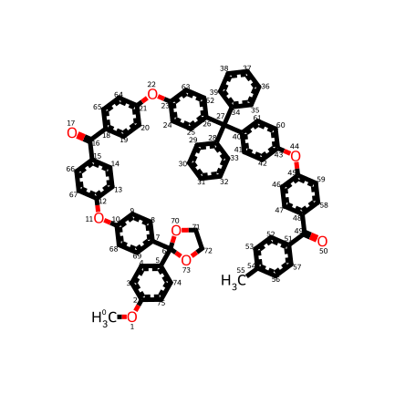 COc1ccc(C2(c3ccc(Oc4ccc(C(=O)c5ccc(Oc6ccc(C(c7ccccc7)(c7ccccc7)c7ccc(Oc8ccc(C(=O)c9ccc(C)cc9)cc8)cc7)cc6)cc5)cc4)cc3)OCCO2)cc1